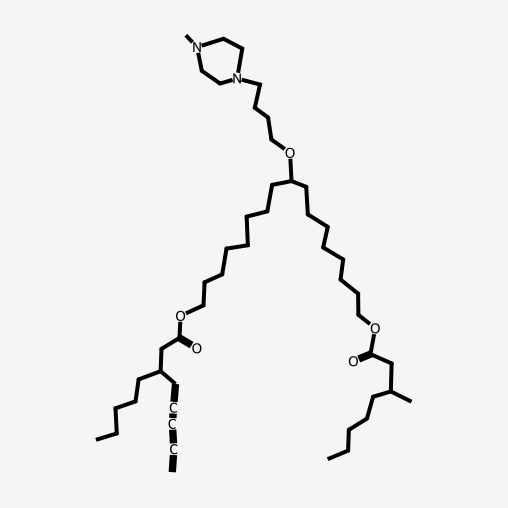 C=C=C=C=CC(CCCCC)CC(=O)OCCCCCCCCC(CCCCCCCCOC(=O)CC(C)CCCCC)OCCCCN1CCN(C)CC1